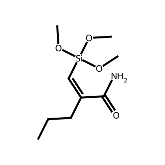 CCCC(=C[Si](OC)(OC)OC)C(N)=O